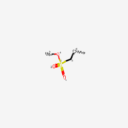 COCS(=O)(=O)OC(C)(C)C